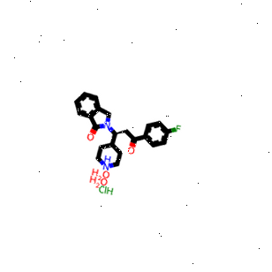 Cl.O.O.O=C(C[C@@H](C1CCNCC1)N1Cc2ccccc2C1=O)c1ccc(F)cc1